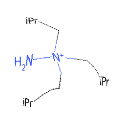 CC(C)C[N+](N)(CC(C)C)CC(C)C